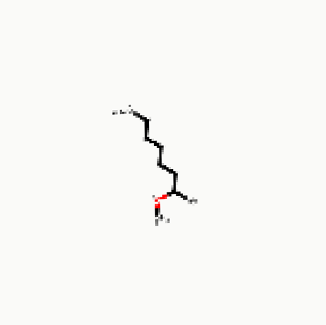 CCCCCCCCCCCCC(CCC)O[SiH3]